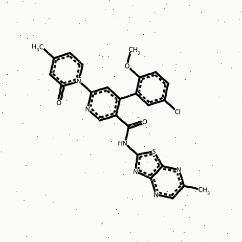 COc1ccc(Cl)cc1-c1cc(-n2ccc(C)cc2=O)ncc1C(=O)Nc1nc2ncc(C)nc2s1